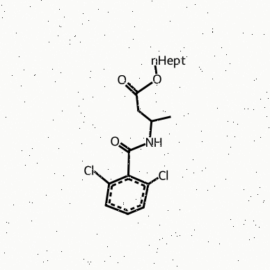 CCCCCCCOC(=O)CC(C)NC(=O)c1c(Cl)cccc1Cl